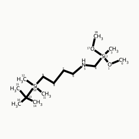 CO[Si](C)(CNCCCC[Si](C)(C)C(C)(C)C)OC